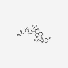 Cc1nc2ccc(F)cc2n1-c1cccc2c1OC[C@H]2N(C(=O)C(F)(F)F)c1ccc2c(c1)OC[C@H]2CC(=O)O